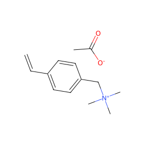 C=Cc1ccc(C[N+](C)(C)C)cc1.CC(=O)[O-]